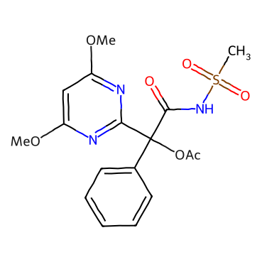 COc1cc(OC)nc(C(OC(C)=O)(C(=O)NS(C)(=O)=O)c2ccccc2)n1